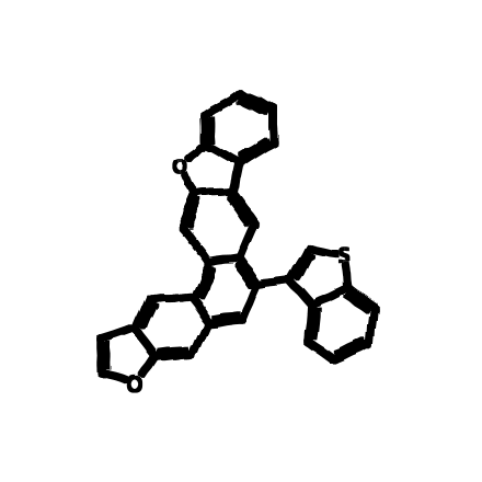 c1ccc2c(c1)oc1cc3c(cc12)c(-c1csc2ccccc12)cc1cc2occc2cc13